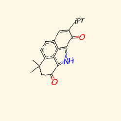 CC(C)C1=Cc2ccc3c4c([nH]c(c24)C1=O)C(=O)CC3(C)C